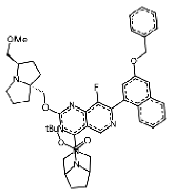 COC[C@H]1CC[C@@]2(COc3nc(N4CC5CCC(C4)N5C(=O)OC(C)(C)C)c4cnc(-c5cc(OCc6ccccc6)cc6ccccc56)c(F)c4n3)CCCN12